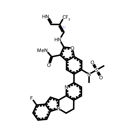 CNC(=O)c1c(N/C=C(\C=N)C(F)(F)F)oc2cc(N(C)S(C)(=O)=O)c(-c3ccc4c(n3)-c3cc5c(F)cccc5n3CC4)cc12